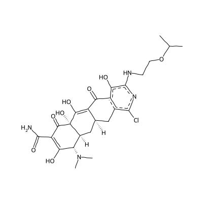 CC(C)OCCNc1nc(Cl)c2c(c1O)C(=O)C1=C(O)[C@]3(O)C(=O)C(C(N)=O)=C(O)[C@@H](N(C)C)[C@@H]3C[C@@H]1C2